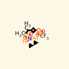 C[C@H]([C@@H](C)C1C=C(OS(=O)(=O)C(F)(F)F)C1)S(=O)(=O)N(PC1CC1)PC1CC1